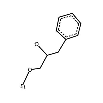 CCOCC([O])Cc1ccccc1